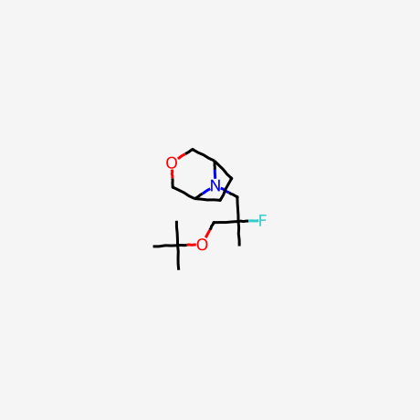 CC(F)(COC(C)(C)C)CN1C2CCC1COC2